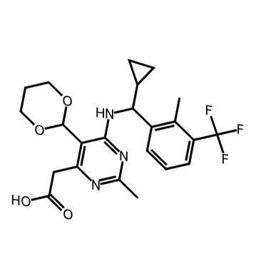 Cc1nc(CC(=O)O)c(C2OCCCO2)c(NC(c2cccc(C(F)(F)F)c2C)C2CC2)n1